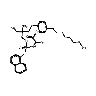 CCCCCCCCc1ccc(CCC(N)(CO)COP(=O)(NC(C)C(=O)O)Oc2cccc3ccccc23)cc1